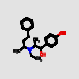 CCN(C(C)CCc1ccccc1)C(C)C(O)c1ccc(O)cc1